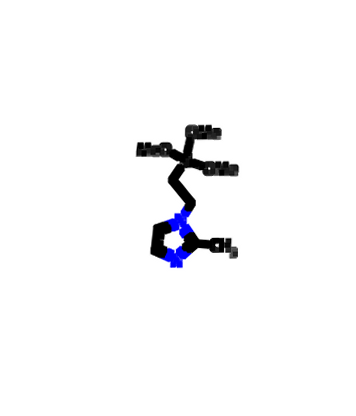 CO[Si](CCn1ccnc1C)(OC)OC